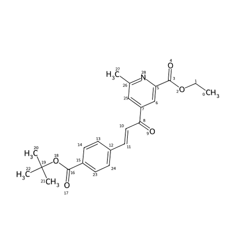 CCOC(=O)c1cc(C(=O)/C=C/c2ccc(C(=O)OC(C)(C)C)cc2)cc(C)n1